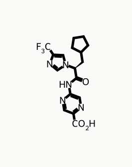 O=C(O)c1cnc(NC(=O)[C@H](CC2CCCC2)n2cnc(C(F)(F)F)c2)cn1